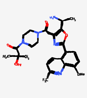 COc1ccc(-c2nc(C(=O)N3CCN(C(=O)C(C)(C)O)CC3)c([C@H](C)N)o2)c2ccc(C(F)(F)F)nc12